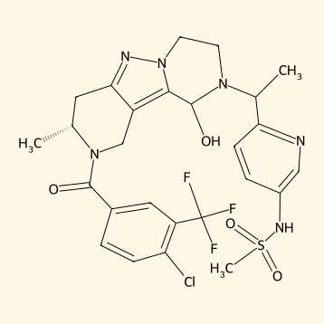 CC(c1ccc(NS(C)(=O)=O)cn1)N1CCn2nc3c(c2C1O)CN(C(=O)c1ccc(Cl)c(C(F)(F)F)c1)[C@H](C)C3